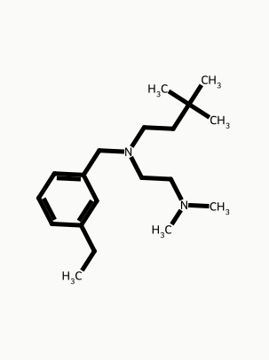 CCc1cccc(CN(CCN(C)C)CCC(C)(C)C)c1